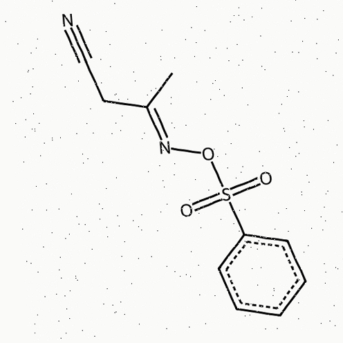 C/C(CC#N)=N\OS(=O)(=O)c1ccccc1